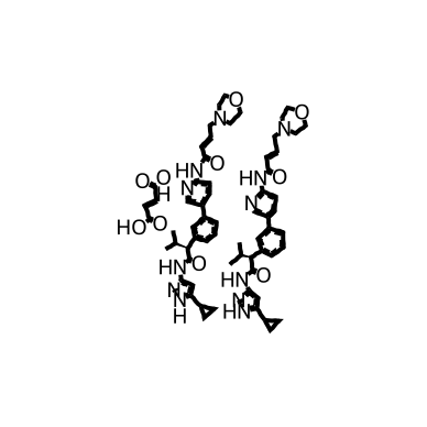 CC(C)[C@H](C(=O)Nc1cc(C2CC2)[nH]n1)c1cccc(-c2ccc(NC(=O)/C=C/CN3CCOCC3)nc2)c1.CC(C)[C@H](C(=O)Nc1cc(C2CC2)[nH]n1)c1cccc(-c2ccc(NC(=O)/C=C/CN3CCOCC3)nc2)c1.O=C(O)/C=C/C(=O)O